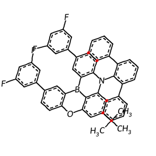 CC(C)(C)c1cc2c3c(c1)N(c1c(-c4ccccc4)cccc1-c1ccccc1)c1ccc(-c4cc(F)cc(F)c4)cc1B3c1cc(-c3cc(F)cc(F)c3)ccc1O2